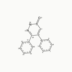 O=C1C=C(c2ccccc2)C(c2ccccc2)=N[N]1